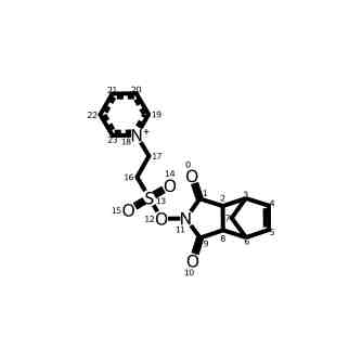 O=C1C2C3C=CC(C3)C2C(=O)N1OS(=O)(=O)CC[n+]1ccccc1